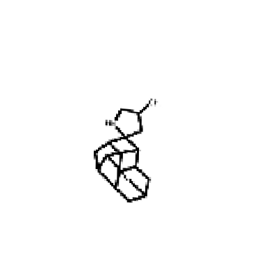 CC1CNC2(C1)C1CC3C4CC5CC3C2C(C5)C4C1